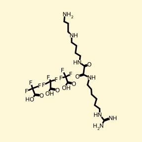 N=C(N)NCCCCCCNC(=O)C(=O)NCCCCNCCCN.O=C(O)C(F)(F)F.O=C(O)C(F)(F)F.O=C(O)C(F)(F)F